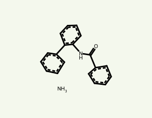 N.O=C(Nc1ccccc1-c1ccccc1)c1ccccc1